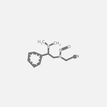 CN(C)C(CN(CC#N)N=O)c1ccccc1